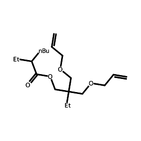 C=CCOCC(CC)(COCC=C)COC(=O)C(CC)CCCC